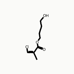 CC(=CCl)C(=O)OCCCCO